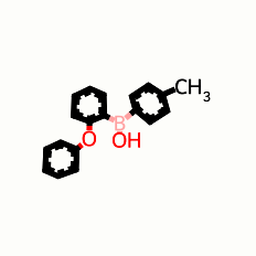 Cc1ccc(B(O)c2ccccc2Oc2ccccc2)cc1